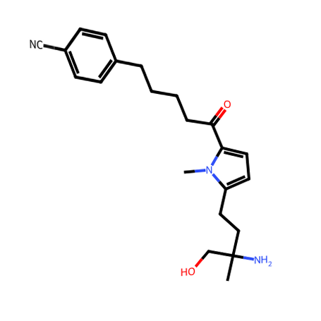 Cn1c(CCC(C)(N)CO)ccc1C(=O)CCCCc1ccc(C#N)cc1